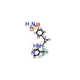 NS(=O)(=O)c1ccc(C2CC2CNc2cnccc2C(F)(F)F)cc1